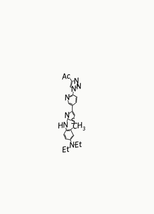 CCN(CC)c1ccc(Nc2nc(-c3ccc(-n4cc(C(C)=O)nn4)nc3)cs2)c(C)c1